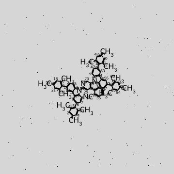 Cc1cc(C)c(-c2ccc3c(c2)c2cc(-c4c(C)cc(C)cc4C)ccc2n3-c2cc(-c3ccccc3C#N)c(-n3c4ccc(-c5c(C)cc(C)cc5C)cc4c4cc(-c5c(C)cc(C)cc5C)ccc43)cn2)c(C)c1